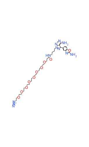 [N-]=[N+]=NCCOCCOCCOCCOCCOCCOCCOCCOCCC(=O)NCCCCn1nc(-c2ccc3oc(N)nc3c2)c2c(N)ncnc21